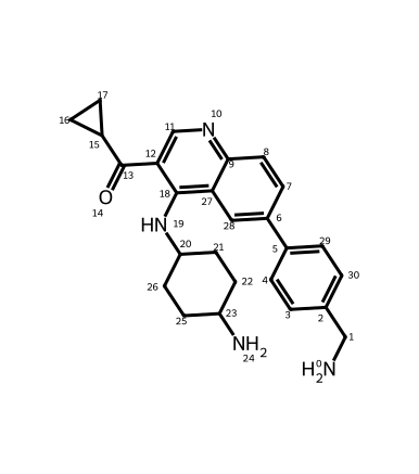 NCc1ccc(-c2ccc3ncc(C(=O)C4CC4)c(NC4CCC(N)CC4)c3c2)cc1